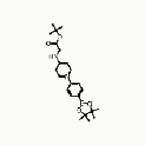 CC(C)(C)OC(=O)CNC1CCN(c2ccc(B3OC(C)(C)C(C)(C)O3)cc2)CC1